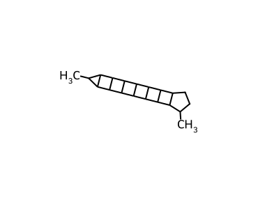 CC1CCC2C1C1C2C2C1C1C3C4C5C(C)C5C4C3C21